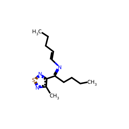 CCC/C=C/N=C(/CCCC)c1nsnc1C